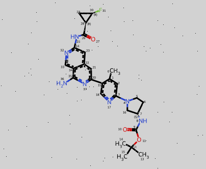 Cc1cc(N2CC[C@H](NC(=O)OC(C)(C)C)C2)ncc1-c1cc2cc(NC(=O)[C@H]3C[C@H]3F)ncc2c(N)n1